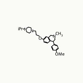 COc1ccc(C2CN(C)Cc3cc(OCCCN4CCN(C(C)C)CC4)ccc32)cc1